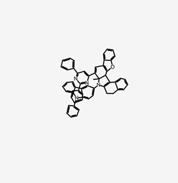 CC12C(c3cc(-c4ccccc4)nc(-c4ccccc4)n3)=Cc3c(oc4ccccc34)C1C1=C(CCc3ccccc31)N2c1ccc2c(c1)c1ccccc1n2-c1ccccc1